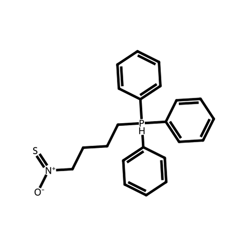 [O-][N+](=S)CCCC[PH](c1ccccc1)(c1ccccc1)c1ccccc1